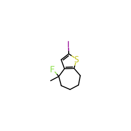 CC1(F)CCCCc2sc(I)cc21